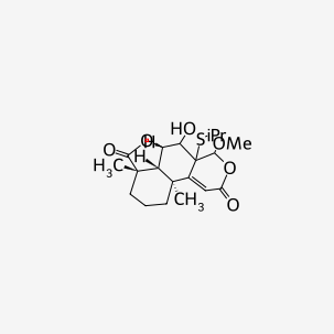 COC1OC(=O)C=C2C1(SC(C)C)C(O)[C@H]1OC(=O)[C@@]3(C)CCC[C@@]2(C)[C@@H]13